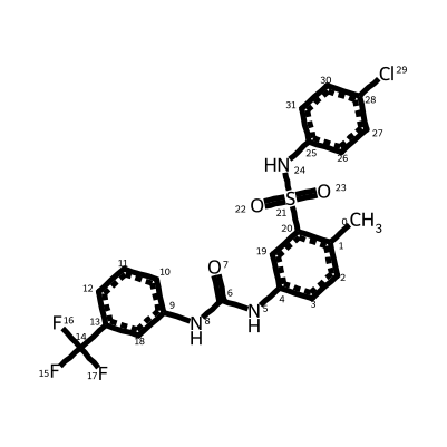 Cc1ccc(NC(=O)Nc2cccc(C(F)(F)F)c2)cc1S(=O)(=O)Nc1ccc(Cl)cc1